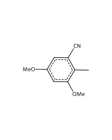 COc1cc(C#N)c(C)c(OC)c1